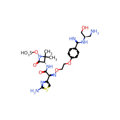 CC1(C)[C@H](NC(=O)/C(=N\OCCOc2ccc(C(=N)N[C@H](CN)CO)cc2)c2csc(N)n2)C(=O)N1OS(=O)(=O)O